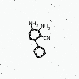 N#Cc1c(-c2ccccc2)ccc(N)c1N